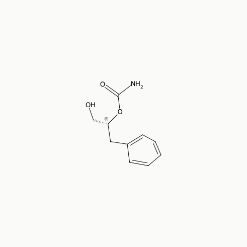 NC(=O)O[C@@H](CO)Cc1ccccc1